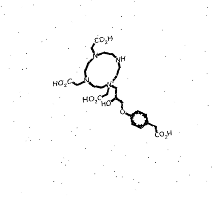 O=C(O)Cc1ccc(OCC(O)C[N+]2(CC(=O)O)CCNCCN(CC(=O)O)CCN(CC(=O)O)CC2)cc1